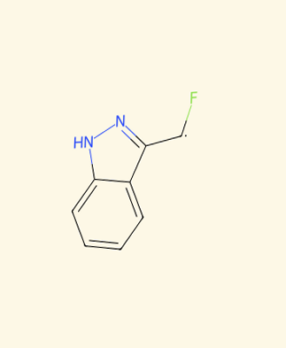 F[CH]c1n[nH]c2ccccc12